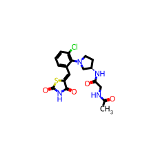 CC(=O)NCC(=O)N[C@H]1CCN(c2c(Cl)cccc2/C=C2\SC(=O)NC2=O)C1